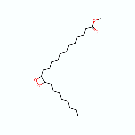 CCCCCCCCC1OOC1CCCCCCCCCCCC(=O)OC